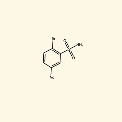 CC(=O)c1ccc(Br)c(S(N)(=O)=O)c1